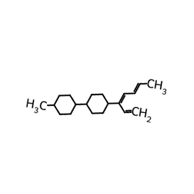 C=C/C(=C\C=C\C)C1CCC(C2CCC(C)CC2)CC1